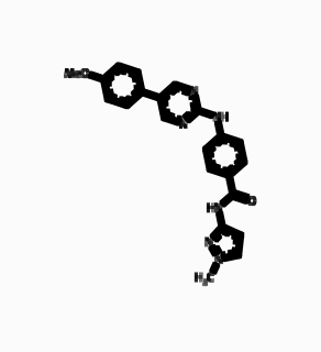 COc1ccc(-c2cnc(Nc3ccc(C(=O)Nc4ccn(C)n4)cc3)nc2)cc1